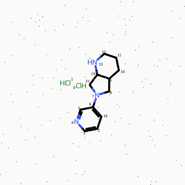 Cl.Cl.c1cncc(N2CC3CCCNC3C2)c1